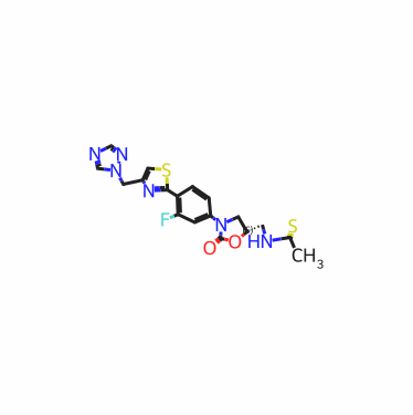 CC(=S)NC[C@H]1CN(c2ccc(-c3nc(Cn4cncn4)cs3)c(F)c2)C(=O)O1